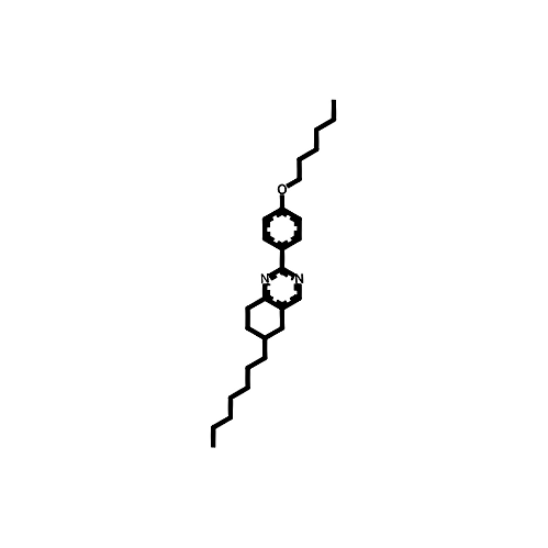 CCCCCCCC1CCc2nc(-c3ccc(OCCCCCC)cc3)ncc2C1